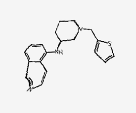 c1csc(CN2CCCC(Nc3cccc4cnccc34)C2)c1